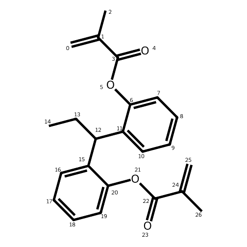 C=C(C)C(=O)Oc1ccccc1C(CC)c1ccccc1OC(=O)C(=C)C